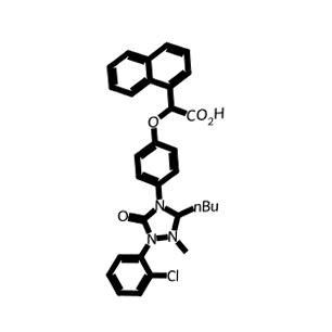 CCCCC1N(c2ccc(OC(C(=O)O)c3cccc4ccccc34)cc2)C(=O)N(c2ccccc2Cl)N1C